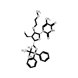 COCCO[C@@H]1[C@H](CI)[C@@H](CO[Si](c2ccccc2)(c2ccccc2)C(C)(C)C)O[C@H]1n1cc(C)c(=O)[nH]c1=O